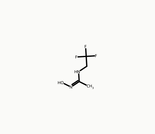 C/C(=N/O)NCC(F)(F)F